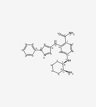 NC(=O)c1nnc(N[C@@H]2CCCC[C@@H]2N)nc1Nc1cnn(-c2ccccc2)c1